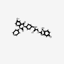 CCn1c(SCC(=O)NC2CCC(n3c(=O)c4cc(F)cnc4n(C4CCSCC4)c3=O)CC2)nc2cc(Cl)ccc21